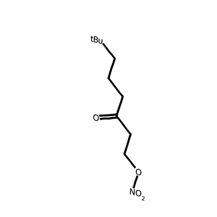 CC(C)(C)CCCC(=O)CCO[N+](=O)[O-]